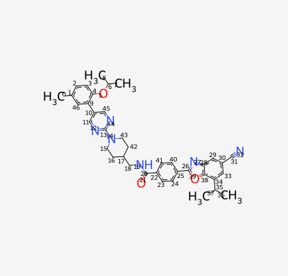 Cc1ccc(OC(C)C)c(-c2cnc(N3CCC(CNC(=O)c4ccc(-c5nc6cc(C#N)cc(C(C)C)c6o5)cc4)CC3)nc2)c1